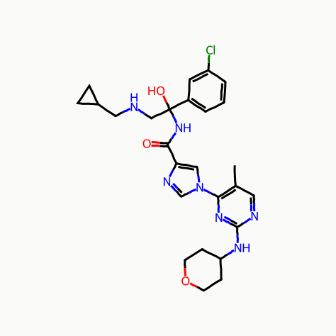 Cc1cnc(NC2CCOCC2)nc1-n1cnc(C(=O)NC(O)(CNCC2CC2)c2cccc(Cl)c2)c1